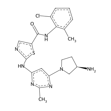 Cc1nc(Nc2ncc(C(=O)Nc3c(C)cccc3Cl)s2)cc(N2CC[C@@H](N)C2)n1